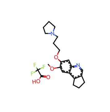 COc1cc2c3c(cnc2cc1OCCCN1CCCC1)CCC3.O=C(O)C(F)(F)F